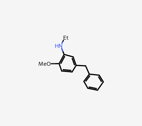 CCNc1cc(Cc2ccccc2)ccc1OC